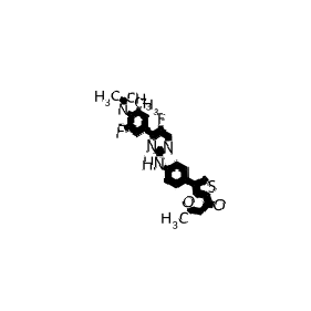 CC(C)=Nc1c(C)cc(-c2nc(Nc3ccc(-c4csc5c(=O)cc(C)oc45)cc3)ncc2F)cc1F